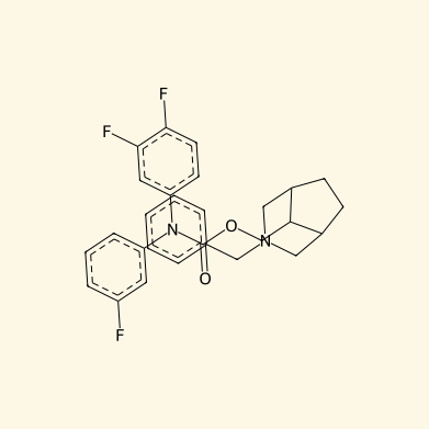 O=C(OCC1C2CCC1CN(Cc1ccccc1)C2)N(c1cccc(F)c1)c1ccc(F)c(F)c1